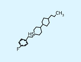 CCCC1CCC(C2CC[SiH](CCc3ccc(F)cc3)CC2)CC1